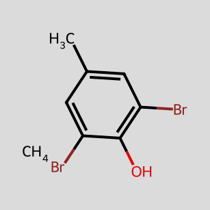 C.Cc1cc(Br)c(O)c(Br)c1